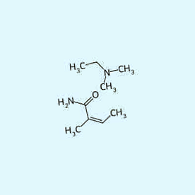 CC=C(C)C(N)=O.CCN(C)C